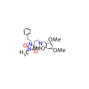 COc1cc(OC)c(CN2CCC3(CC2)C(=O)N(C)C(=O)N3CCc2ccccc2)c(OC)c1